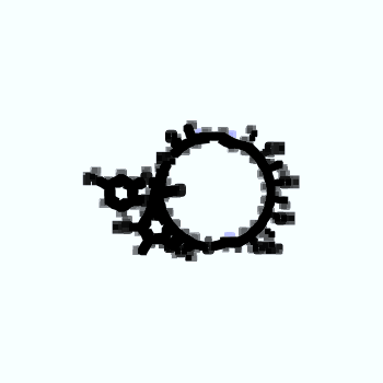 CO[C@H]1/C=C/O[C@@]2(C)Oc3c(C)c(O)c4c(=O)c(c5oc6cc(C(C)C)ccc6nc-5c4c3C2=O)NC(=O)/C(C)=C\C=C\[C@H](C)[C@H](O)[C@@H](C)[C@@H](O)[C@@H](C)[C@H](O)[C@@H]1C